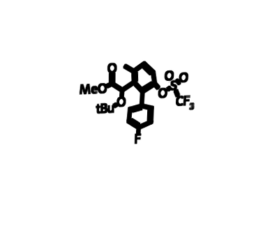 COC(=O)C(OC(C)(C)C)c1c(C)ccc(OS(=O)(=O)C(F)(F)F)c1-c1ccc(F)cc1